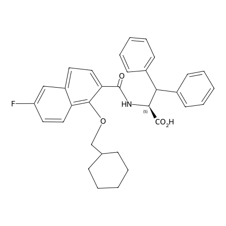 O=C(N[C@H](C(=O)O)C(c1ccccc1)c1ccccc1)c1ccc2cc(F)ccc2c1OCC1CCCCC1